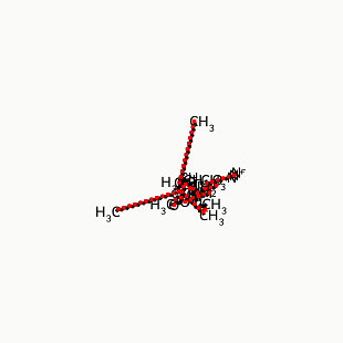 CCCCCCCCCCCCCCCCCCCCCCOc1ccc(C(NC(=O)[C@H](CCCc2cc(C)cc(C)c2)NC(=O)[C@H](Cc2ccc(-c3ccc(OCCCCN=[N+]=[N-])cc3CC)cc2)NC(=O)[C@@H](N)CC(=O)OC(C)(C)C)c2ccc(OC)cc2)c(OCCCCCCCCCCCCCCCCCCCCCC)c1